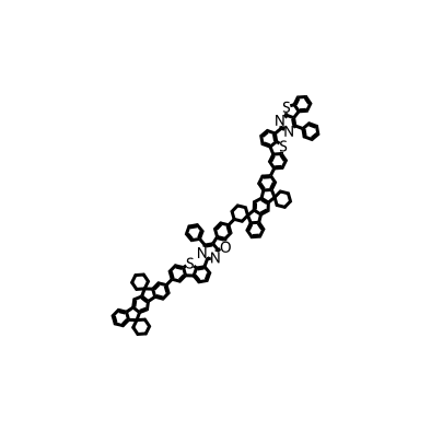 c1ccc(-c2nc(-c3cccc4c3sc3ccc(-c5ccc6c(c5)C5(CCCCC5)c5cc7c(cc5-6)C5(CCCCC5)c5ccccc5-7)cc34)nc3oc4cc(C5CCCC6(C5)c5ccccc5-c5cc7c(cc56)-c5ccc(-c6ccc8sc9c(-c%10nc(-c%11ccccc%11)c%11c(n%10)sc%10ccccc%10%11)cccc9c8c6)cc5C75CCCCC5)ccc4c23)cc1